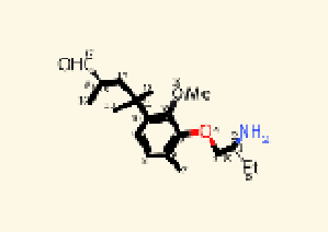 CC[C@@H](N)COc1c(C)ccc(C(C)(C)C[C@@H](C)C=O)c1OC